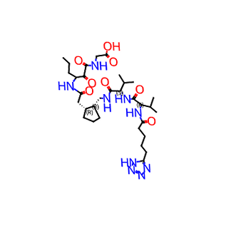 CCCC(NC(=O)C[C@H]1CCC[C@H]1CNC(=O)[C@@H](NC(=O)[C@H](NC(=O)CCCCc1nnn[nH]1)C(C)C)C(C)C)C(=O)C(=O)NCC(=O)O